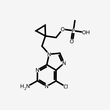 CP(=O)(O)OCC1(Cn2cnc3c(Cl)nc(N)nc32)CC1